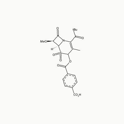 CO[C@H]1C(=O)N2C(C(=O)C(C)(C)C)=C(C)C(OC(=O)c3ccc(C(=O)O)cc3)S(=O)(=O)[C@@H]12